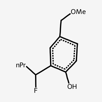 CCCC(F)c1cc(COC)ccc1O